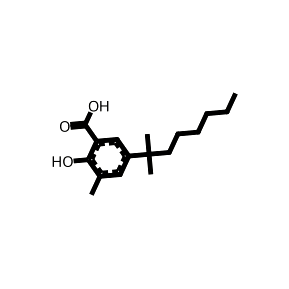 CCCCCCC(C)(C)c1cc(C)c(O)c(C(=O)O)c1